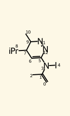 C=C(C)N(I)C1=CC(C(C)C)C(C)N=N1